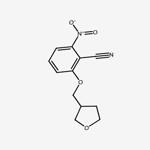 N#Cc1c(OCC2CCOC2)cccc1[N+](=O)[O-]